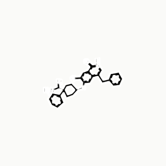 CCC(N)[C@]1(c2ccccc2)CC[C@H](Oc2cc3c(Cc4ccccc4)c[nH]c(=O)c3cc2Cl)CC1